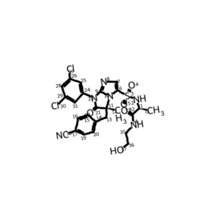 C[C@H](NS(=O)(=O)c1cnc2n1[C@](C)(Cc1ccc(C#N)cc1)C(=O)N2c1cc(Cl)cc(Cl)c1)C(=O)NCCO